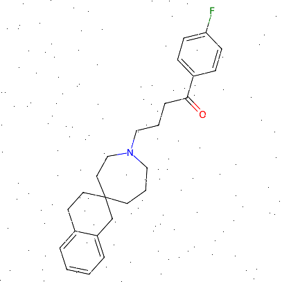 O=C(CCCN1CCCC2(CCc3ccccc3C2)CC1)c1ccc(F)cc1